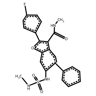 CNC(=O)c1c(-c2ccc(F)cc2)oc2cc(NS(=O)(=O)NC)c(-c3ccccc3)cc12